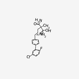 CC(C[C@H](N)Cc1ccc(-c2cc(Cl)ccc2F)cc1)(C(N)=O)C(=O)O